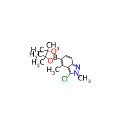 Cc1c(B2OC(C)(C)C(C)(C)O2)ccc2nn(C)c(Cl)c12